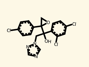 OC(Cn1cncn1)(c1ccc(Cl)cc1Cl)C1(c2ccc(Cl)cc2)CO1